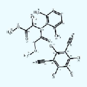 COCC(=O)N(c1c(C)cccc1C)C(C)C(=O)OC.N#Cc1c(Cl)c(Cl)c(Cl)c(C#N)c1Cl